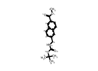 COC(=O)c1ccc2cc(CNC(=O)OC(C)(C)C)ccc2c1